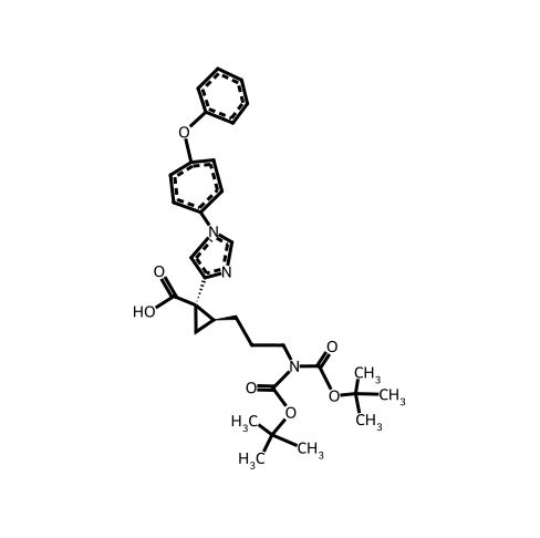 CC(C)(C)OC(=O)N(CCC[C@H]1C[C@]1(C(=O)O)c1cn(-c2ccc(Oc3ccccc3)cc2)cn1)C(=O)OC(C)(C)C